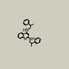 CC(CNc1cc(NCC(C)c2ccccc2)c2ccccc2n1)c1ccccc1